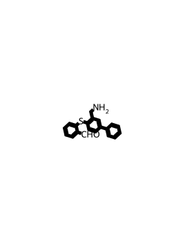 NCc1cc(-c2ccccc2)ccc1Sc1ccccc1C=O